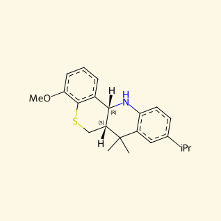 COc1cccc2c1SC[C@@H]1[C@H]2Nc2ccc(C(C)C)cc2C1(C)C